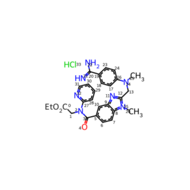 CCOC(=O)CN(C(=O)c1ccc2c(c1)nc(CN(C)c1ccc(C(=N)N)cc1)n2C)c1ccccn1.Cl